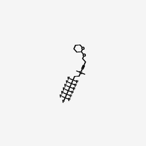 C[Si](C)(C#CCCOC1CCCCO1)CCC(F)(F)C(F)(F)C(F)(F)C(F)(F)C(F)(F)C(F)(F)F